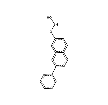 OBOc1ccc2ccc(-c3ccccc3)cc2c1